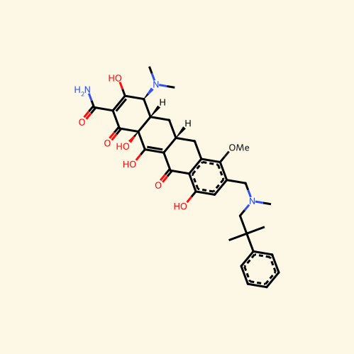 COc1c(CN(C)CC(C)(C)c2ccccc2)cc(O)c2c1C[C@H]1C[C@H]3[C@H](N(C)C)C(O)=C(C(N)=O)C(=O)[C@@]3(O)C(O)=C1C2=O